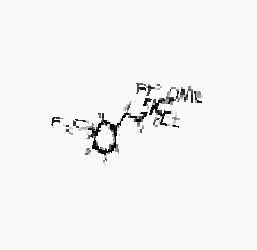 CC[Si](CC)(CCc1cccc(C(F)(F)F)c1)OC